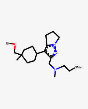 CCOCC1(C)CCC(c2c(CN(C)CCNC)nn3c2CCC3)CC1